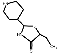 CCC1SC(C2CCNCC2)NC1=O